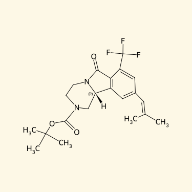 CC(C)=Cc1cc2c(c(C(F)(F)F)c1)C(=O)N1CCN(C(=O)OC(C)(C)C)C[C@@H]21